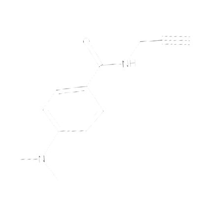 C#CCNC(=O)c1ccc(N(C)C)cc1